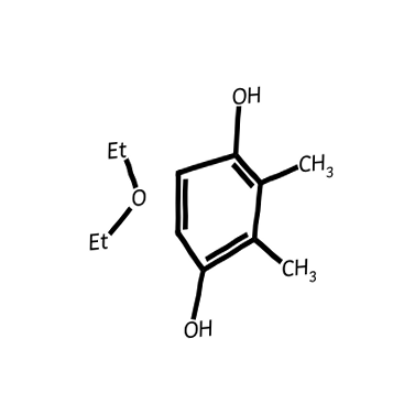 CCOCC.Cc1c(O)ccc(O)c1C